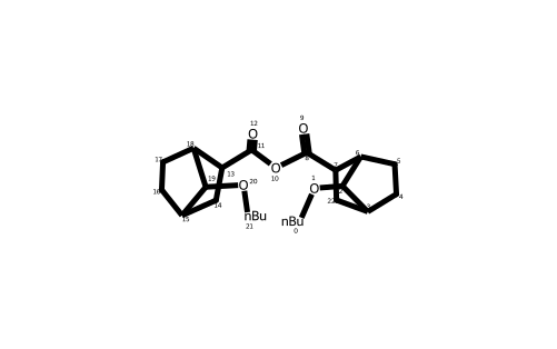 CCCCOC1C2CCC1C(C(=O)OC(=O)C1CC3CCC1C3OCCCC)C2